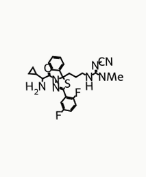 CNC(=NC#N)NCCCC1(c2ccccc2)SC(c2cc(F)ccc2F)=NN1C(=O)C(N)C1CC1